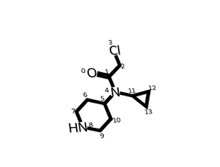 O=C(CCl)N(C1CCNCC1)C1CC1